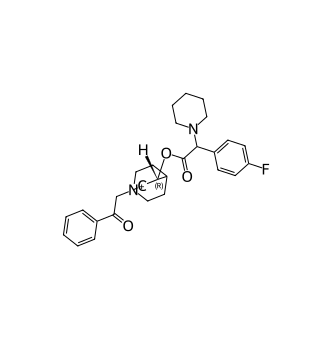 O=C(C[N+]12CCC(CC1)[C@@H](OC(=O)C(c1ccc(F)cc1)N1CCCCC1)C2)c1ccccc1